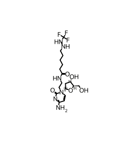 NC1=NC(=O)[N+](CCNC(=O)CCCCCNNC(F)(F)F)([C@H]2C[C@H](O)[C@@H](CO)O2)C=C1